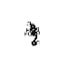 O=c1c2ccc(Cl)cc2[nH]c2c(O)nn(CC#Cc3ccccc3Cl)c(=O)c12